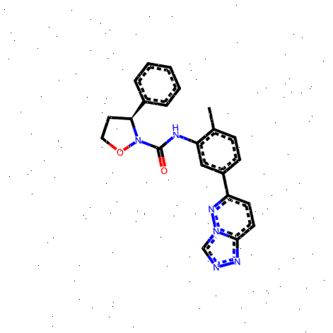 Cc1ccc(-c2ccc3nncn3n2)cc1NC(=O)N1OCC[C@H]1c1ccccc1